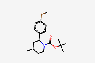 CSc1ccc([C@@H]2C[C@H](C)CCN2C(=O)OC(C)(C)C)cc1